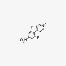 C[n+]1ccc(-c2ccc([N+](=O)[O-])cc2F)cc1.[I-]